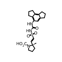 C[C@@]1(/C=C/S(=O)(=O)NC(=O)Nc2cc3c(c4c2CCC4)CCC3)CCCN1C(=O)O